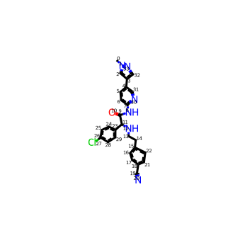 Cn1cc(-c2ccc(NC(=O)C(NCCc3ccc(C#N)cc3)c3ccc(Cl)cc3)nc2)cn1